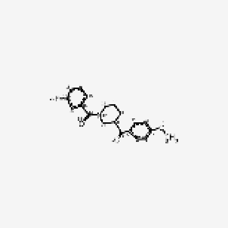 COc1ccc(C(=O)C2CCCN(C(=O)c3cccc(F)c3)C2)cc1